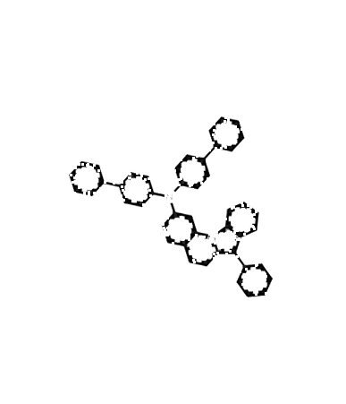 c1ccc(-c2ccc(N(c3ccc(-c4ccccc4)cc3)c3ccc4ccc5c(-c6ccccc6)c6ccccc6n5c4c3)cc2)cc1